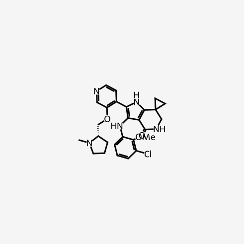 COc1c(Cl)cccc1Nc1c(-c2ccncc2OC[C@@H]2CCCN2C)[nH]c2c1C(=O)NCC21CC1